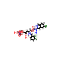 CN(Cc1cccc(F)c1Cl)[C@H](COC(=O)Nc1cc2cc(F)ccc2cn1)C[C@@H](O)COP(=O)(O)O